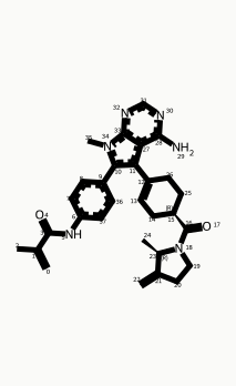 C=C(C)C(=O)Nc1ccc(-c2c(C3=CC[C@H](C(=O)N4CCC(=C)[C@H]4C)CC3)c3c(N)ncnc3n2C)cc1